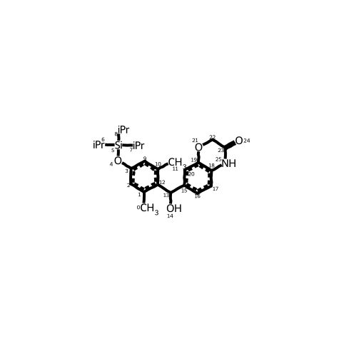 Cc1cc(O[Si](C(C)C)(C(C)C)C(C)C)cc(C)c1C(O)c1ccc2c(c1)OCC(=O)N2